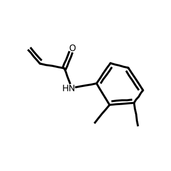 C=CC(=O)Nc1cccc(C)c1C